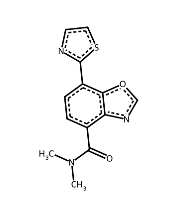 CN(C)C(=O)c1ccc(-c2nccs2)c2ocnc12